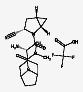 CN(C)C(=O)N1C2CCC1CC([C@H](N)C(=O)N1[C@H](C#N)C[C@@H]3C[C@@H]31)C2.O=C(O)C(F)(F)F